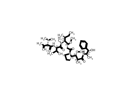 C=C(C)[C@@H](C(=O)N[C@H](C(=O)N(C)[C@@H]([C@@H](C)CC)[C@@H](CC(=O)N1CCC[C@H]1[C@H](OC)[C@@H](C)C(=O)N[C@H](C)[C@@H](O)c1ccccc1)OC)C(C)C)N(C)C